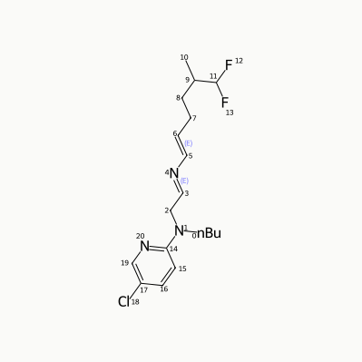 CCCCN(C/C=N/C=C/CCC(C)C(F)F)c1ccc(Cl)cn1